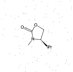 CC(C)[C@@H]1COC(=O)N1C